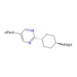 CCCCCCC[C@H]1CC[C@H](c2ncc(CCCCC)cn2)CC1